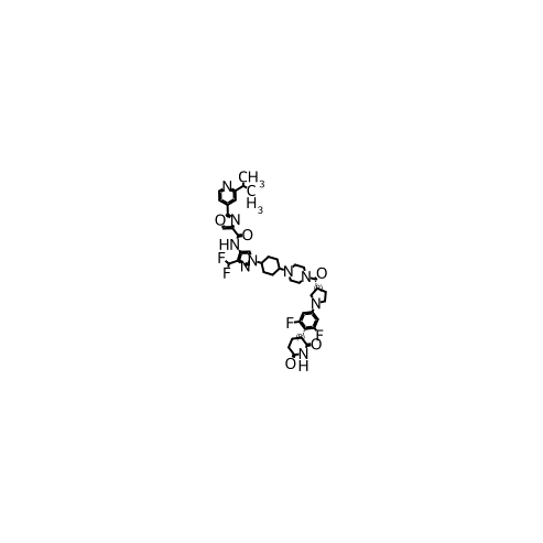 CC(C)c1cc(-c2nc(C(=O)Nc3cn(C4CCC(N5CCN(C(=O)[C@@H]6CCN(c7cc(F)c([C@H]8CCC(=O)NC8=O)c(F)c7)C6)CC5)CC4)nc3C(F)F)co2)ccn1